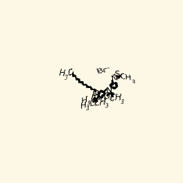 CCCCCCCCCCCCCCOc1cc(CN(C(=O)CC)c2cccc(C[n+]3csc(C)c3)c2)ccc1C(C)(C)C.[Br-]